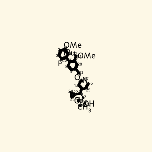 COc1ccc(F)c(-c2ccc(COc3cc([C@@H](CP(C)(=O)O)C4CC4)ccn3)cc2[C@@H](OC)C(C)(C)C)c1